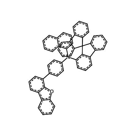 c1ccc2c(c1)-c1ccccc1C21c2ccccc2-c2cccc(N(c3ccc(-c4cccc5c4oc4ccccc45)cc3)c3cccc4ccccc34)c21